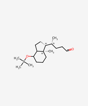 C[C@H](CCC=O)[C@H]1CCC2C(O[Si](C)(C)C)CCC[C@@]21C